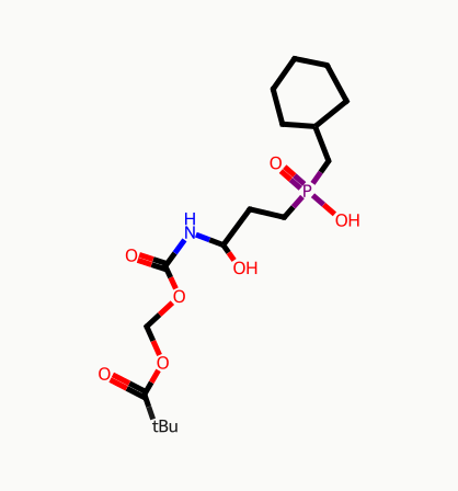 CC(C)(C)C(=O)OCOC(=O)NC(O)CCP(=O)(O)CC1CCCCC1